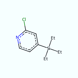 CC[Si](CC)(CC)c1ccnc(Cl)c1